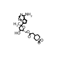 C[C@]1(c2ccc3c(N)ncnn23)C[C@H](O)[C@@H](COC(=O)CC2CCS(=O)(=O)CC2)O1